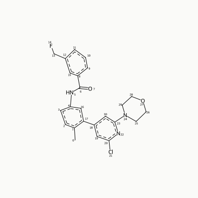 Cc1ccc(NC(=O)c2cccc(CF)c2)cc1-c1cc(Cl)nc(N2CCOCC2)c1